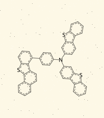 c1ccc2c(c1)ccc1c2sc2cccc(-c3ccc(N(c4ccc5c(c4)sc4ccccc45)c4ccc5c(c4)sc4ccccc45)cc3)c21